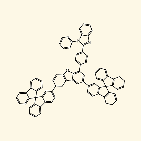 C1=CC2=C(CC1)c1ccccc1C21C2=C(CCC=C2)c2ccc(-c3cc(-c4ccc(-c5nc6ccccc6n5-c5ccccc5)cc4)c4oc5c(c4c3)CC(c3ccc4c(c3)C3(c6ccccc6-c6ccccc63)c3ccccc3-4)C=C5)cc21